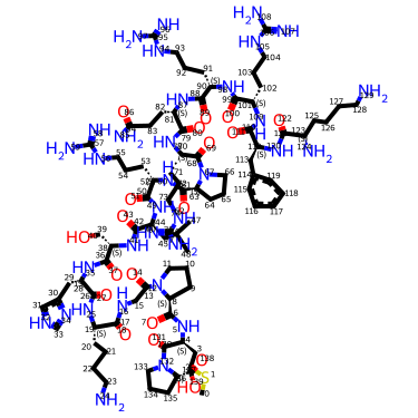 CSCC[C@H](NC(=O)[C@@H]1CCCN1C(=O)CNC(=O)[C@H](CCCCN)NC(=O)[C@H](Cc1c[nH]cn1)NC(=O)[C@H](CO)NC(=O)[C@H](CC(C)C)NC(=O)[C@H](CCCNC(=N)N)NC(=O)[C@@H]1CCCN1C(=O)[C@H](CCCNC(=N)N)NC(=O)[C@H](CCC(N)=O)NC(=O)[C@H](CCCNC(=N)N)NC(=O)[C@H](CCCNC(=N)N)NC(=O)[C@H](Cc1ccccc1)NC(=O)[C@@H](N)CCCCN)C(=O)N1CCC[C@H]1C(=O)O